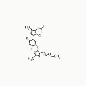 CCO/N=C/c1nc(C)sc1Oc1cc(-c2nn(C)c(OC(F)F)c2Cl)c(F)cc1Cl